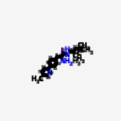 C/C(=C\NC(I)C(N)Cc1ccc(-c2ccc(C)cn2)cc1)CC(C)(C)C